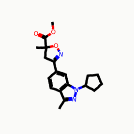 COC(=O)C1(C)CC(c2ccc3c(C)nn(C4CCCC4)c3c2)=NO1